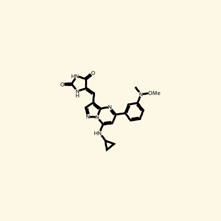 CON(C)c1cccc(-c2cc(NC3CC3)n3ncc(/C=C4\NC(=O)NC4=O)c3n2)c1